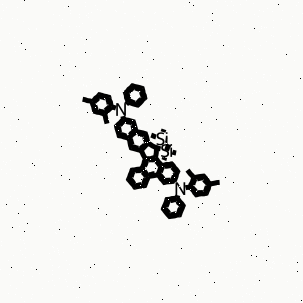 Cc1ccc(N(c2ccccc2)c2ccc3cc4c(cc3c2)C([Si](C)(C)C)([Si](C)(C)C)c2c-4c3ccccc3c3cc(N(c4ccccc4)c4ccc(C)cc4C)ccc23)c(C)c1